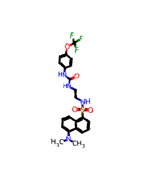 CN(C)c1cccc2c(S(=O)(=O)NCCNC(=O)Nc3ccc(OC(F)(F)F)cc3)cccc12